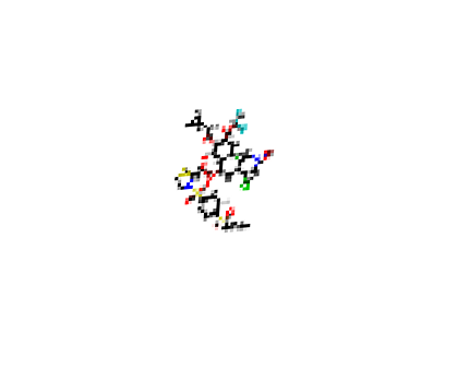 CNS(=O)(=O)c1ccc(S(=O)(=O)N2CCSC2C(=O)OC(Cc2c(Cl)c[n+]([O-])cc2Cl)c2ccc(OC(F)F)c(OCC3CC3)c2)cc1